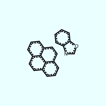 c1cc2ccc3cccc4ccc(c1)c2c34.c1ccc2ocnc2c1